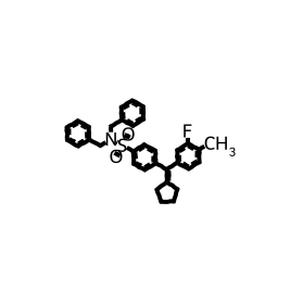 Cc1ccc(C(=C2CCCC2)c2ccc(S(=O)(=O)N(Cc3ccccc3)Cc3ccccc3)cc2)cc1F